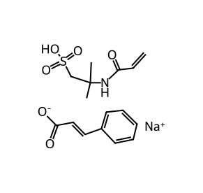 C=CC(=O)NC(C)(C)CS(=O)(=O)O.O=C([O-])C=Cc1ccccc1.[Na+]